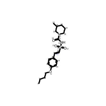 CCCCOc1ccc(/C=C/S(=O)(=O)NC(=O)N2CCCC(C)C2)cc1